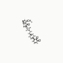 Cc1cnoc1C(=O)NC1CC(CCN2CCN(c3cccc(Cl)c3Cl)CC2)C1